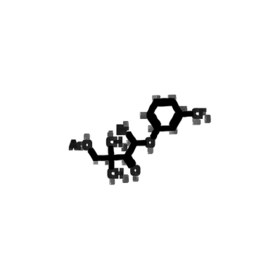 CC(=O)OCC(C)(C)C(=O)C(Br)Oc1cccc(C(F)(F)F)c1